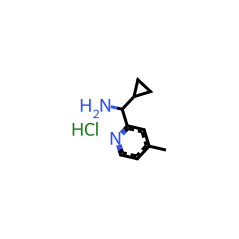 Cc1ccnc(C(N)C2CC2)c1.Cl